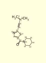 C=C(C)C#Cc1ncc(C(=O)N2CCCCC2)s1